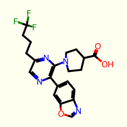 O=C(O)C1CCN(c2nc(CCCC(F)(F)F)cnc2-c2ccc3ncoc3c2)CC1